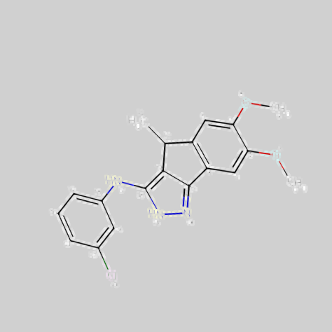 COc1cc2c(cc1OC)C(C)c1c-2n[nH]c1Nc1cccc(Cl)c1